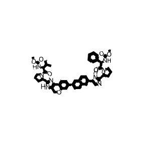 COC(=O)NC(C(=O)N1CCCC1c1ncc(-c2ccc3cc(-c4ccc5c(c4)OCc4[nH]c(C6CCCN6C(=O)C(NC(=O)OC)C(C)C)nc4-5)ccc3c2)[nH]1)c1ccccc1